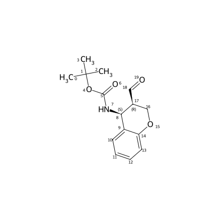 CC(C)(C)OC(=O)N[C@@H]1c2ccccc2OC[C@@H]1C=O